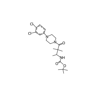 CC(NC(=O)OC(C)(C)C)C(C)(C)C(=O)N1CCN(c2ccc(Cl)c(Cl)c2)CC1